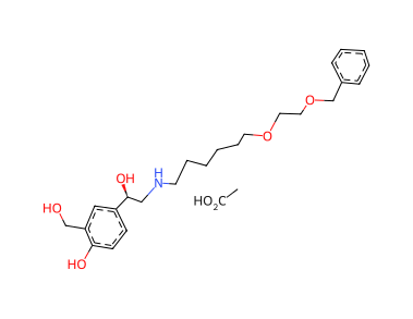 CC(=O)O.OCc1cc([C@@H](O)CNCCCCCCOCCOCc2ccccc2)ccc1O